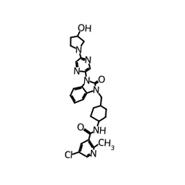 Cc1ncc(Cl)cc1C(=O)NC1CCC(Cn2c(=O)n(-c3cnc(N4CCC(O)C4)cn3)c3ccccc32)CC1